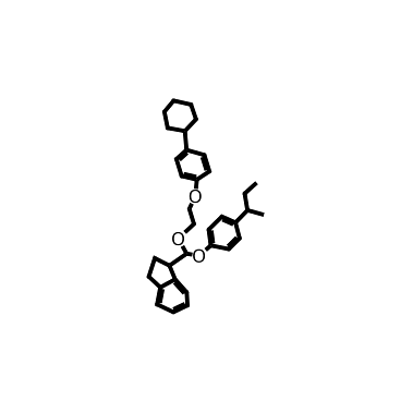 CCC(C)c1ccc(OC(OCCOc2ccc(C3CCCCC3)cc2)C2CCc3ccccc32)cc1